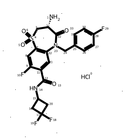 Cl.N[C@H]1CS(=O)(=O)c2cc(F)c(C(=O)NC3CC(F)(F)C3)cc2N(Cc2ccc(F)cc2)C1=O